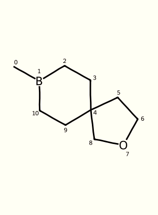 CB1CCC2(CCOC2)CC1